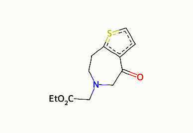 CCOC(=O)CN1CCc2sccc2C(=O)C1